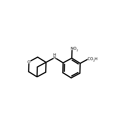 O=C(O)c1cccc(NC23COCC(C2)C3)c1[N+](=O)[O-]